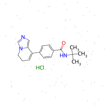 CC(C)(C)NC(=O)c1ccc(C2=CCCn3cncc32)cc1.Cl